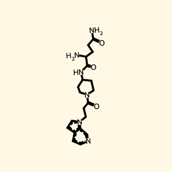 NC(=O)CCC(N)C(=O)NC1CCN(C(=O)CCn2ccc3ccncc32)CC1